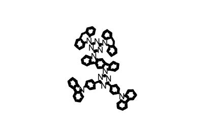 c1ccc2c(c1)Cc1ccccc1N2c1nc(N2c3ccccc3Cc3ccccc32)nc(-n2c3ccccc3c3cc4c(cc32)c2ccccc2n4-c2nc(-c3ccc(-n4c5ccccc5c5ccccc54)cc3)nc(-c3ccc(-n4c5ccccc5c5ccccc54)cc3)n2)n1